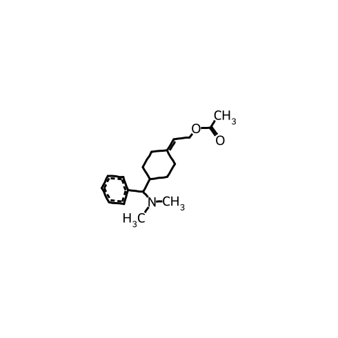 CC(=O)OCC=C1CCC(C(c2ccccc2)N(C)C)CC1